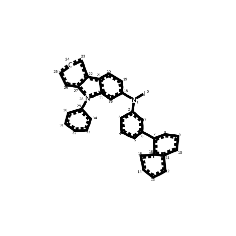 IN(c1cccc(-c2cccc3ccccc23)c1)c1ccc2c3ccccc3n(-c3ccccc3)c2c1